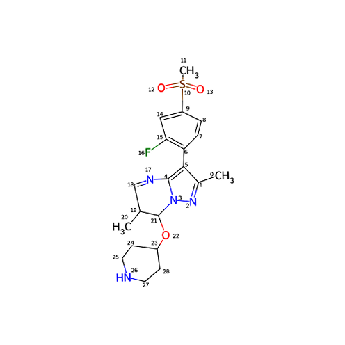 Cc1nn2c(c1-c1ccc(S(C)(=O)=O)cc1F)N=CC(C)C2OC1CCNCC1